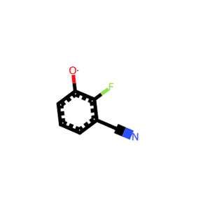 N#Cc1cccc([O])c1F